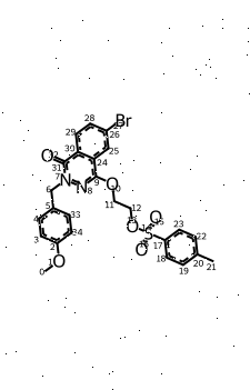 COc1ccc(Cn2nc(OCCOS(=O)(=O)c3ccc(C)cc3)c3cc(Br)ccc3c2=O)cc1